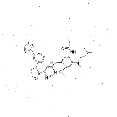 C=CC(=O)Nc1cc(Nc2cc(N3OCCC3c3cccc(-c4nccs4)c3)ncn2)c(OC)cc1N(C)CCN(C)C